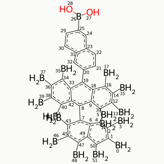 Bc1c(B)c(B)c2c(-c3c4c(B)c(B)c(B)c(B)c4c(-c4ccc5cc(B(O)O)ccc5c4)c4c(B)c(B)c(B)c(B)c34)c(B)c(B)c(B)c2c1B